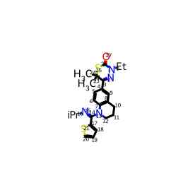 CCN1N=C(c2ccc3c(c2)CCCN3C(=NC(C)C)c2cccs2)C(C)(C)SC1=O